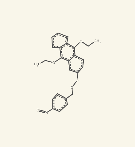 CCOc1c2ccccc2c(OCC)c2cc(SOCc3ccc(N=O)cc3)ccc12